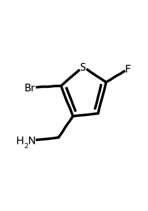 NCc1cc(F)sc1Br